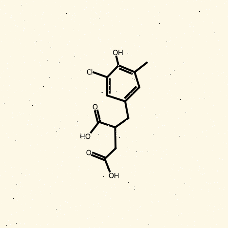 Cc1cc(CC(CC(=O)O)C(=O)O)cc(Cl)c1O